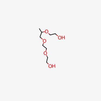 CC(COCCOCCO)OCCO